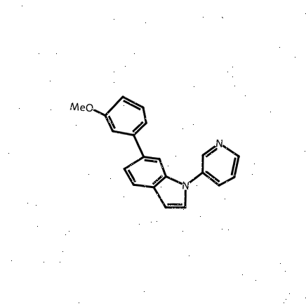 COc1cccc(-c2ccc3ccn(-c4cccnc4)c3c2)c1